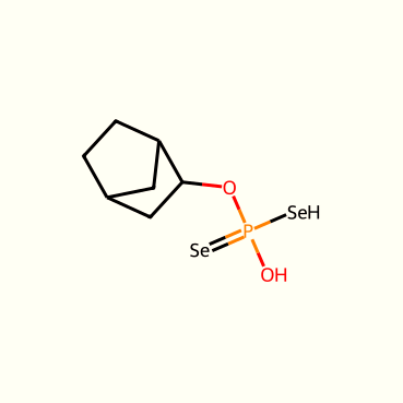 OP(=[Se])([SeH])OC1CC2CCC1C2